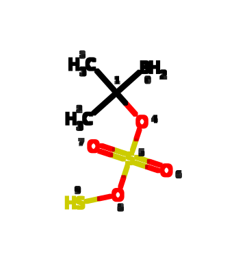 BC(C)(C)OS(=O)(=O)OS